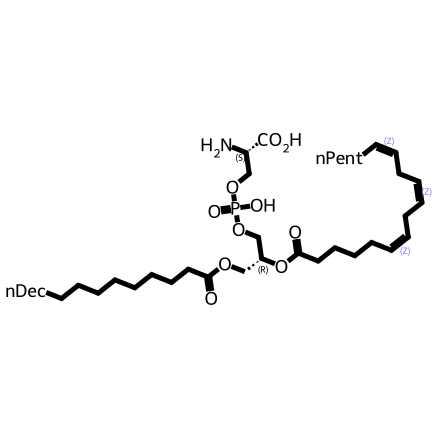 CCCCC/C=C\C/C=C\C/C=C\CCCCC(=O)O[C@H](COC(=O)CCCCCCCCCCCCCCCCCC)COP(=O)(O)OC[C@H](N)C(=O)O